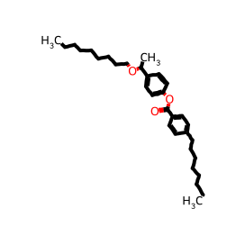 CCCCCCCCCOC(C)c1ccc(OC(=O)c2ccc(CCCCCCCC)cc2)cc1